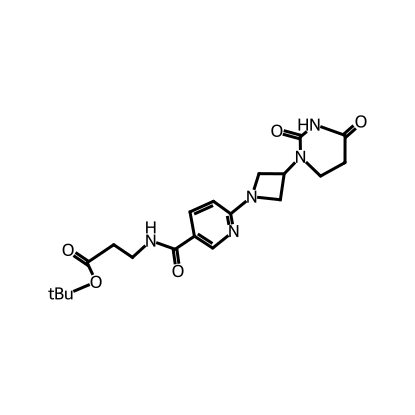 CC(C)(C)OC(=O)CCNC(=O)c1ccc(N2CC(N3CCC(=O)NC3=O)C2)nc1